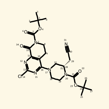 CC(C)(C)OC(=O)N1CCc2c(nc(Cl)nc2N2CCN(C(=O)OC(C)(C)C)[C@@H](CC#N)C2)C1=O